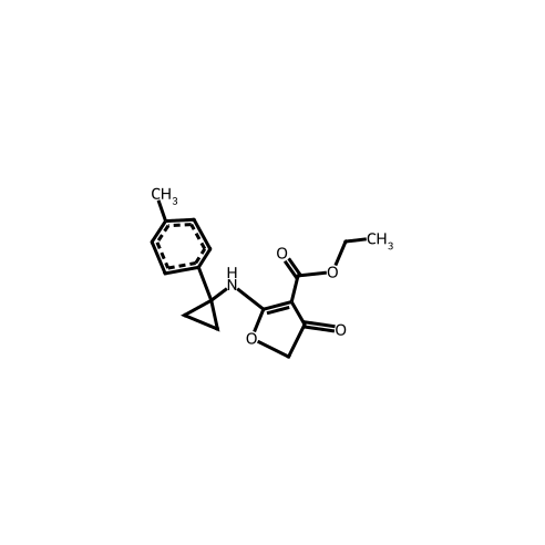 CCOC(=O)C1=C(NC2(c3ccc(C)cc3)CC2)OCC1=O